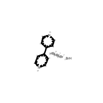 Br.Br.Br.Br.c1cc(-c2ccncc2)ccn1